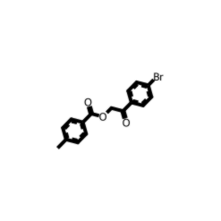 Cc1ccc(C(=O)OCC(=O)c2ccc(Br)cc2)cc1